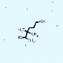 CC(O)C(C)(C)CCCO